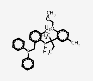 CCC(C)(Pc1c(C)cccc1CP(c1ccccc1)c1ccccc1)c1cc(C)ccc1OCOC